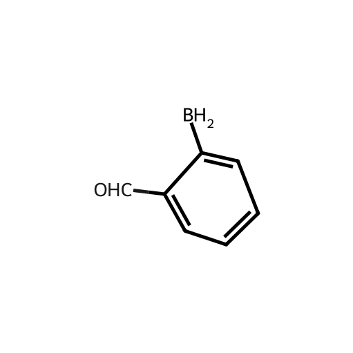 Bc1ccccc1C=O